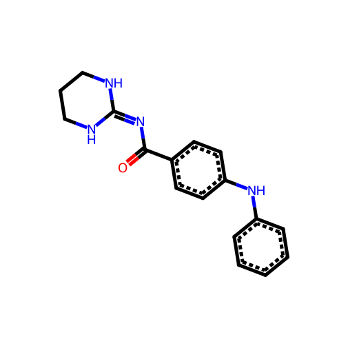 O=C(N=C1NCCCN1)c1ccc(Nc2ccccc2)cc1